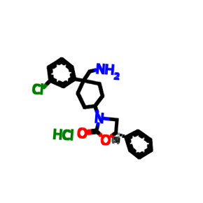 Cl.NCC1(c2cccc(Cl)c2)CCC(N2C[C@H](c3ccccc3)OC2=O)CC1